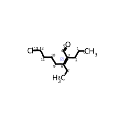 CCC/C(C=O)=C(\CC)CCCCCl